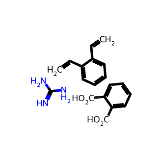 C=Cc1ccccc1C=C.N=C(N)N.O=C(O)c1ccccc1C(=O)O